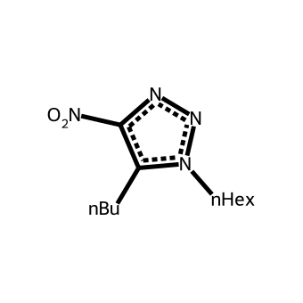 CCCCCCn1nnc([N+](=O)[O-])c1CCCC